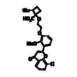 COc1c(OCCOC2(C(=O)O)CCC2C(C)(C)C)cccc1-c1cc(=O)c2cccc(Cl)c2o1